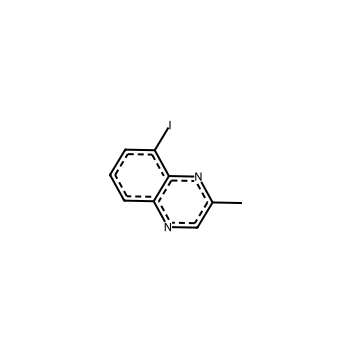 Cc1cnc2cccc(I)c2n1